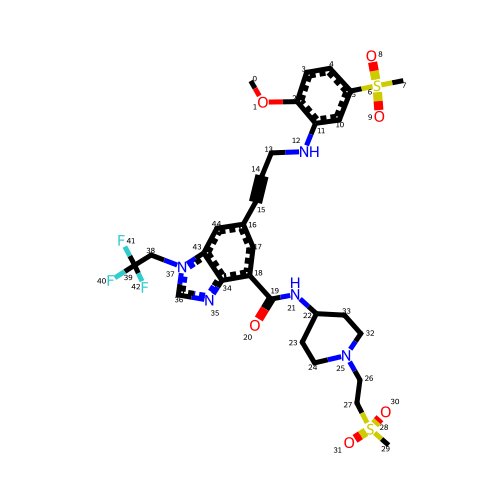 COc1ccc(S(C)(=O)=O)cc1NCC#Cc1cc(C(=O)NC2CCN(CCS(C)(=O)=O)CC2)c2ncn(CC(F)(F)F)c2c1